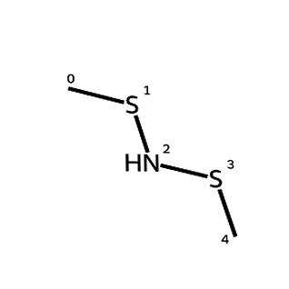 CSNSC